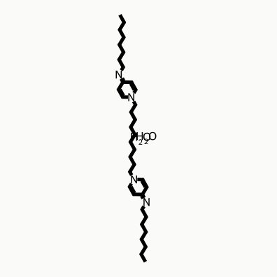 CCCCCCCCN=c1ccn(CCCCCCCCCCn2ccc(=NCCCCCCCC)cc2)cc1.O.O